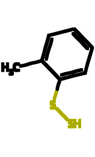 Cc1ccccc1SS